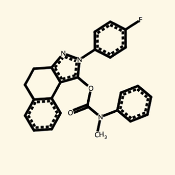 CN(C(=O)Oc1c2c(nn1-c1ccc(F)cc1)CCc1ccccc1-2)c1ccccc1